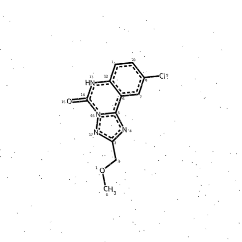 COCc1nc2c3cc(Cl)ccc3[nH]c(=O)n2n1